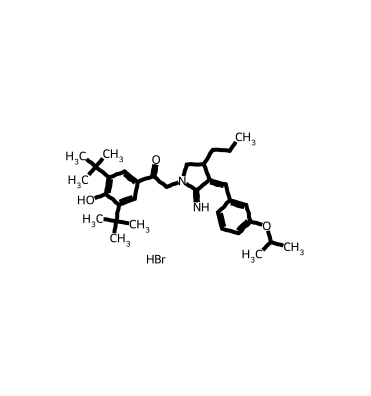 Br.CCCC1CN(CC(=O)c2cc(C(C)(C)C)c(O)c(C(C)(C)C)c2)C(=N)C1=Cc1cccc(OC(C)C)c1